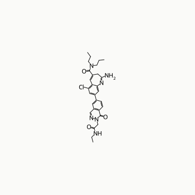 CCCN(CCC)C(=O)C1=Cc2c(Cl)cc(-c3ccc4c(=O)n(CC(=O)NCC)ncc4c3)cc2N=C(N)C1